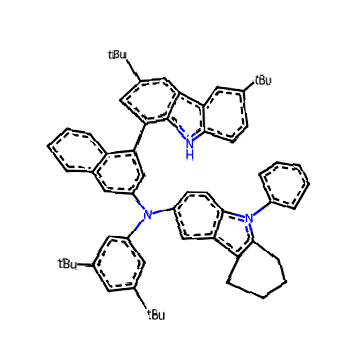 CC(C)(C)c1cc(N(c2cc(-c3cc(C(C)(C)C)cc4c3[nH]c3ccc(C(C)(C)C)cc34)c3ccccc3c2)c2ccc3c(c2)c2c(n3-c3ccccc3)CCCC2)cc(C(C)(C)C)c1